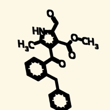 COC(=O)c1c(C=O)[nH]c(C)c1C(=O)c1ccccc1Cc1ccccc1